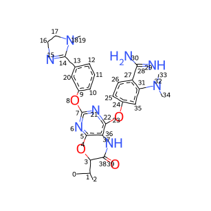 CC(C)C1Oc2nc(Oc3cccc(C4=NCCN4C)c3)nc(Oc3ccc(C(=N)N)c(N(C)C)c3)c2NC1=O